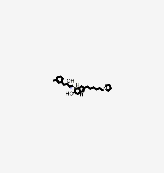 Cc1cccc(C[C@H](O)/C=C/[C@@H]2[C@H]3CC(CCCCCCN4CCCC4)=C[C@H]3C[C@H]2O)c1